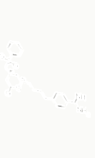 N=C(N)c1ccc(CCCC[C@H]2C[C@@H](CS(=O)(=O)c3ccccc3)CC(=O)O2)cc1